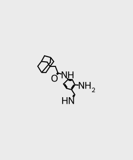 N=Cc1ccc(NC(=O)CC23CC4CC(CC(C4)C2)C3)cc1N